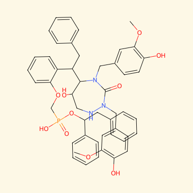 COc1cc(CN2NCC(O)C(C(Cc3ccccc3)c3ccccc3OCP(=O)(O)OC(Cc3ccccc3)c3ccccc3)N(Cc3ccc(O)c(OC)c3)C2=O)ccc1O